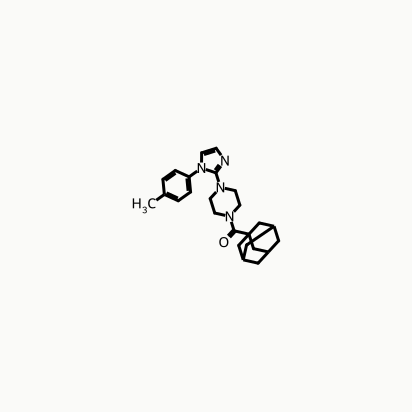 Cc1ccc(-n2ccnc2N2CCN(C(=O)C34CC5CC(CC(C5)C3)C4)CC2)cc1